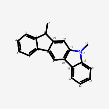 CC1c2ccccc2-c2cc3c4ccccc4n(C)c3cc21